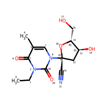 CCn1c(=O)c(C)cn([C@@]2(C#N)C[C@H](O)[C@@H](CO)O2)c1=O